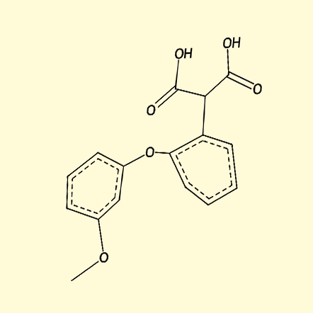 COc1cccc(Oc2ccccc2C(C(=O)O)C(=O)O)c1